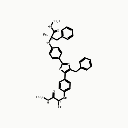 CC(C)[C@H](Nc1ccc(-c2oc(-c3ccc(N[C@](Cc4ccccc4)(C(=O)NC(=O)O)C(C)C)cc3)nc2Cc2ccccc2)cc1)C(=O)NC(=O)O